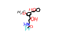 COc1cc(/C=C/C2(O)CCCCC2)cc(C(O)CCNC(=O)C(F)(F)F)c1